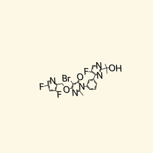 Cc1nc(OCc2ncc(F)cc2F)c(Br)c(=O)n1-c1cccc(-c2nc(C(C)(C)O)ncc2F)c1